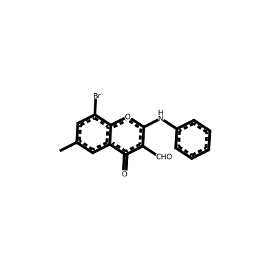 Cc1cc(Br)c2oc(Nc3ccccc3)c(C=O)c(=O)c2c1